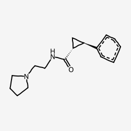 O=C(NCCN1CCCC1)[C@@H]1C[C@H]1c1ccccc1